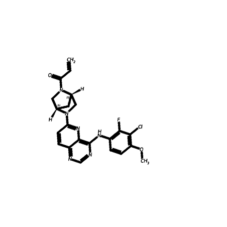 C=CC(=O)N1C[C@@H]2C[C@H]1CN2c1ccc2ncnc(Nc3ccc(OC)c(Cl)c3F)c2n1